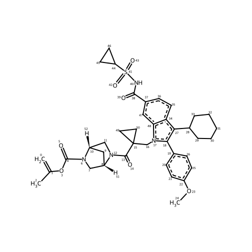 C=C(C)OC(=O)N1C[C@@H]2C[C@H]1CN2C(=O)C1(Cn2c(-c3ccc(OC)cc3)c(C3CCCCC3)c3ccc(C(=O)NS(=O)(=O)C4CC4)cc32)CC1